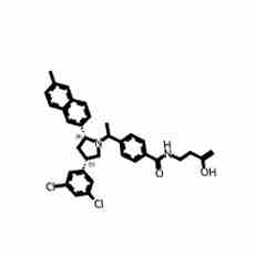 C=C(O)CCNC(=O)c1ccc(C(C)N2C[C@H](c3cc(Cl)cc(Cl)c3)C[C@@H]2c2ccc3cc(C)ccc3c2)cc1